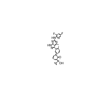 Cc1ccc(-n2cccc([C@@](C)(O)C3CC3)c2=O)cc1-c1n[nH]c2nc(Nc3ncc(F)cc3F)nc(C)c12